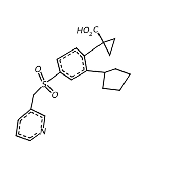 O=C(O)C1(c2ccc(S(=O)(=O)Cc3cccnc3)cc2C2CCCC2)CC1